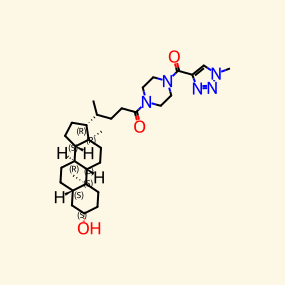 CC(CCC(=O)N1CCN(C(=O)c2cn(C)nn2)CC1)[C@H]1CC[C@H]2[C@@H]3CC[C@H]4C[C@@H](O)CC[C@]4(C)[C@H]3CC[C@]12C